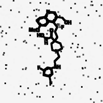 COc1ccc2ncc(CO)c([C@H](F)CCC3(C(=O)NO)CCN(CCNc4cc(F)cc(F)c4)CC3)c2c1